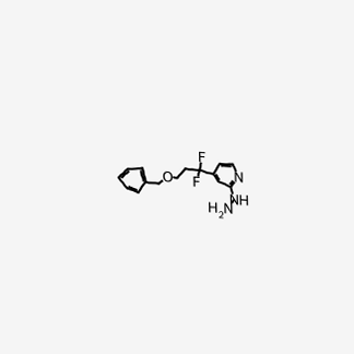 NNc1cc(C(F)(F)CCOCc2ccccc2)ccn1